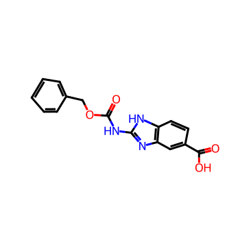 O=C(Nc1nc2cc(C(=O)O)ccc2[nH]1)OCc1ccccc1